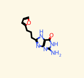 Nc1nc2nc(CCCc3ccco3)[nH]c2c(=O)[nH]1